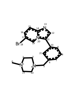 CN1CCN(Cc2cccc(-c3cnc4ccc(Br)cn34)c2)CC1